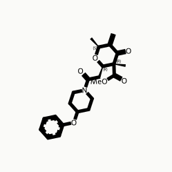 C=C1C(=O)[C@](C)(C(=O)OC)[C@@H](CC(=O)N2CCC(Oc3ccccc3)CC2)O[C@H]1C